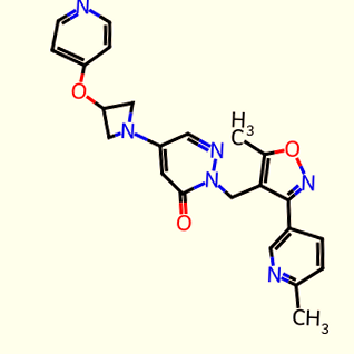 Cc1ccc(-c2noc(C)c2Cn2ncc(N3CC(Oc4ccncc4)C3)cc2=O)cn1